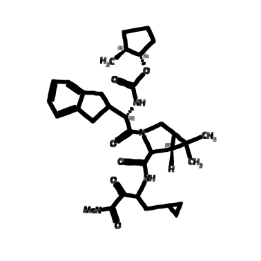 CNC(=O)C(=O)C(CC1CC1)NC(=O)C1[C@@H]2C(CN1C(=O)[C@@H](NC(=O)O[C@H]1CCC[C@@H]1C)C1Cc3ccccc3C1)C2(C)C